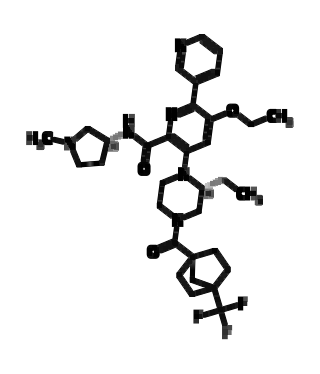 CCOc1cc(N2CCN(C(=O)C34CCC(C(F)(F)F)(CC3)C4)C[C@H]2CC)c(C(=O)N[C@@H]2CCN(C)C2)nc1-c1cccnc1